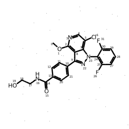 COc1ncc(Cl)c2c1c(-c1ccc(C(=O)NCCO)cc1)nn2-c1c(F)cccc1F